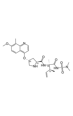 C=C[C@H](C)[C@@](C)(NC(=O)[C@@H]1C[C@@H](Oc2ccnc3c(C)c(OC)ccc23)CN1)C(=O)NS(=O)(=O)N(C)C